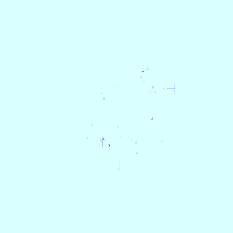 CC(C)c1cnc(-c2c(F)cccc2F)c2cc(C(=O)O)ccc12